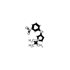 CC(C)(C)N1CCC(Oc2cccc([N+](=O)[O-])c2)C1